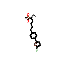 CC(=O)C(CCCCc1ccc(-c2ccc(Br)s2)cc1)S(C)(=O)=O